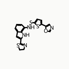 c1cc(NSc2ccc(-c3cnco3)s2)c2[nH]c(C3=NCCS3)cc2c1